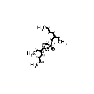 CCCCC(CC)COP(=O)(C=O)OCC(CC)CCCC